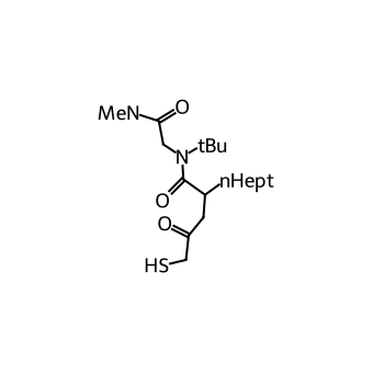 CCCCCCCC(CC(=O)CS)C(=O)N(CC(=O)NC)C(C)(C)C